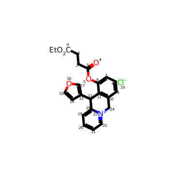 CCOC(=O)CCC(=O)Oc1cccc2c1C(c1ccoc1)c1cccc[n+]1C2.[Cl-]